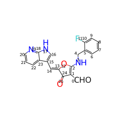 O=CC1=C(NCc2ccccc2F)O/C(=C\c2c[nH]c3ncccc23)C1=O